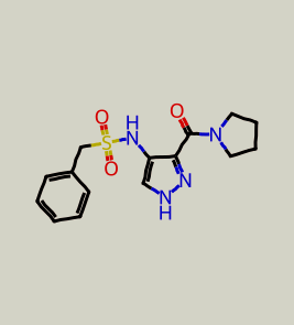 O=C(c1n[nH]cc1NS(=O)(=O)Cc1ccccc1)N1CCCC1